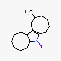 CC1CCCCC2=C(C1)C1CCCCCCC1N2I